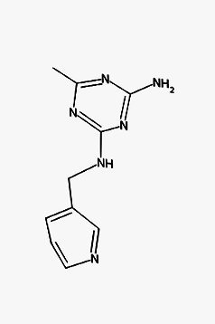 Cc1nc(N)nc(NCc2cccnc2)n1